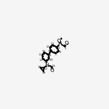 CON(C=O)c1ccc(-c2cc[c]c(N(C=O)C3CC3)c2)cc1